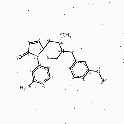 Cc1cc(N2C(=O)C=C[C@]23CCN(Cc2cccc(OC(C)C)c2)[C@@H](C)C3)ccn1